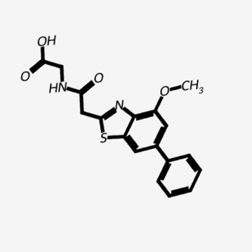 COc1cc(-c2ccccc2)cc2sc(CC(=O)NCC(=O)O)nc12